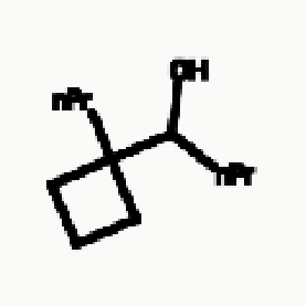 CCCC(O)C1(CCC)CCC1